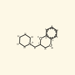 [c]1ccc2c(c1)OC(CN1CCCCC1)CO2